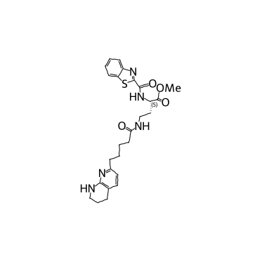 COC(=O)[C@H](CCNC(=O)CCCCc1ccc2c(n1)NCCC2)NC(=O)c1nc2ccccc2s1